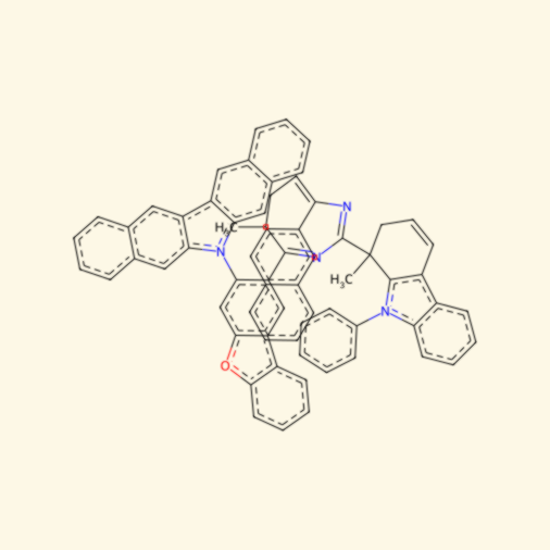 CC1C/C=C(c2ccc3ccccc3c2)/N=C(C2(C)CC=Cc3c2n(-c2ccccc2)c2ccccc32)\N=C/1c1cc2c(cc1-n1c3cc4ccccc4cc3c3cc4ccccc4cc31)oc1ccccc12